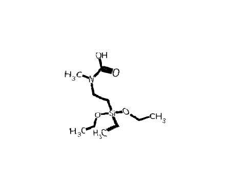 CCO[Si](CC)(CCN(C)C(=O)O)OCC